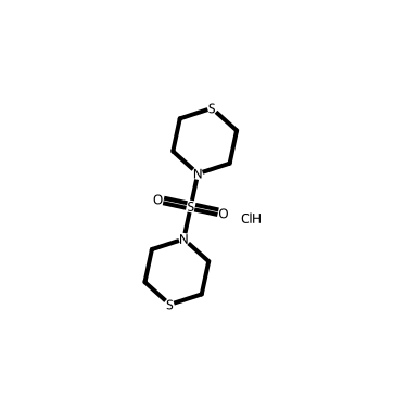 Cl.O=S(=O)(N1CCSCC1)N1CCSCC1